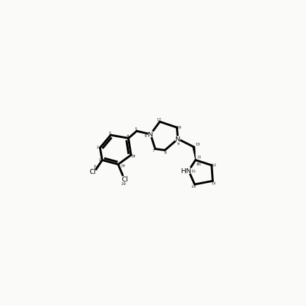 Clc1ccc(CN2CCN(C[C@H]3CCCN3)CC2)cc1Cl